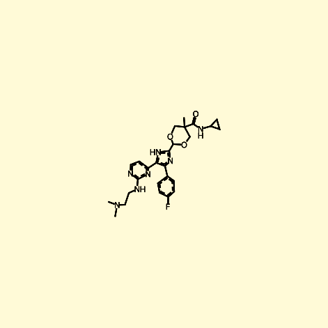 CN(C)CCNc1nccc(-c2[nH]c(C3OCC(C)(C(=O)NC4CC4)CO3)nc2-c2ccc(F)cc2)n1